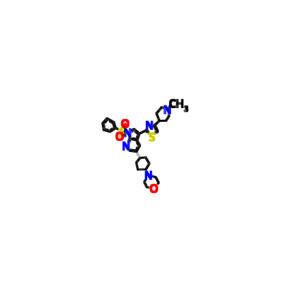 CN1CCC(c2csc(-c3cn(S(=O)(=O)c4ccccc4)c4ncc([C@H]5CC[C@@H](N6CCOCC6)CC5)cc34)n2)CC1